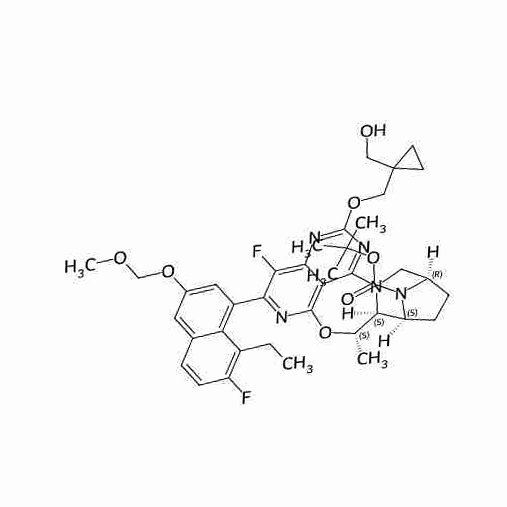 CCc1c(F)ccc2cc(OCOC)cc(-c3nc4c5c(nc(OCC6(CO)CC6)nc5c3F)N3C[C@H]5CC[C@@H]([C@H]3[C@H](C)O4)N5C(=O)OC(C)(C)C)c12